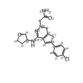 NC(=O)CN1Cc2sc(-c3ccc(Cl)cc3)cc2C(NC2CCOC2)=N1